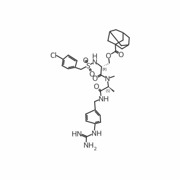 C[C@@H](C(=O)NCc1ccc(NC(=N)N)cc1)N(C)C(=O)[C@@H](COC(=O)C12CC3CC(CC(C3)C1)C2)NS(=O)(=O)Cc1ccc(Cl)cc1